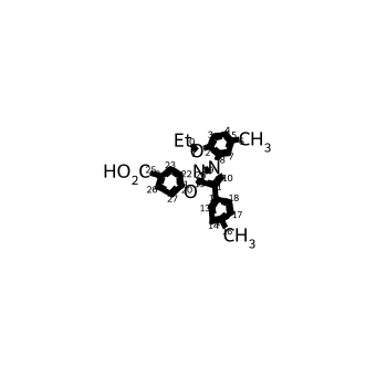 CCOc1ccc(C)cc1-n1cc(-c2ccc(C)cc2)c(Oc2ccc(C(=O)O)cc2)n1